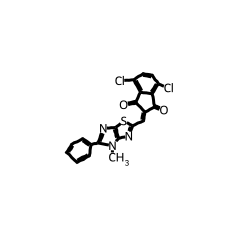 Cn1c(-c2ccccc2)nc2sc(C=C3C(=O)c4c(Cl)ccc(Cl)c4C3=O)nc21